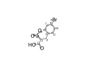 O=C(O)C(Cc1ccc(Br)cc1)=S(=O)=O